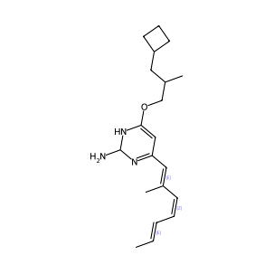 C/C=C/C=C\C(C)=C\C1=NC(N)NC(OCC(C)CC2CCC2)=C1